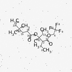 CCC(C(=O)OCC(F)(F)F)C(C)(CC)OC(=O)CCC(C)(C)CC